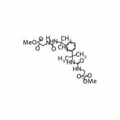 COS(=O)(=O)CNC(=O)NC(C)(C)c1cccc(C(C)(C)NC(=O)NCS(=O)(=O)OC)c1